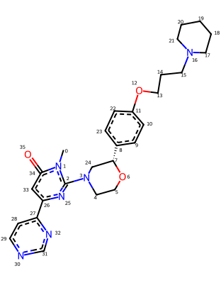 Cn1c(N2CCO[C@@H](c3ccc(OCCCN4CCCCC4)cc3)C2)nc(-c2ccncn2)cc1=O